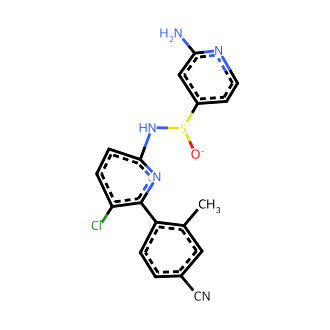 Cc1cc(C#N)ccc1-c1nc(N[S+]([O-])c2ccnc(N)c2)ccc1Cl